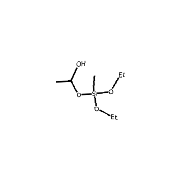 CCO[Si](C)(OCC)OC(C)O